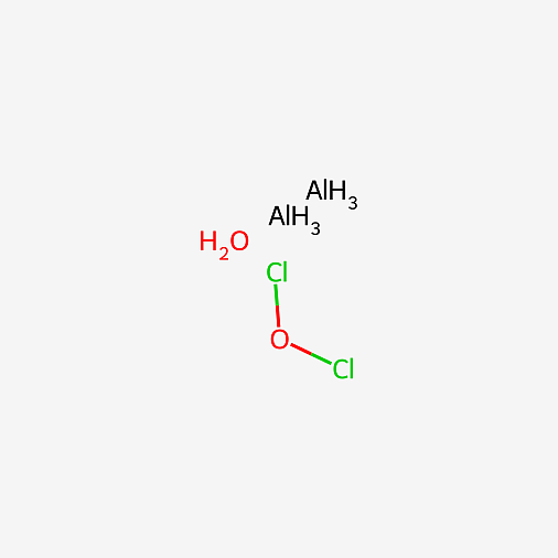 ClOCl.O.[AlH3].[AlH3]